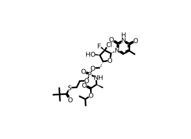 Cc1cn([C@@H]2O[C@H](COP(=O)(N[C@@H](C)C(=O)OC(C)C)OCCSC(=O)C(C)(C)C)[C@@H](O)[C@]2(F)Cl)c(=O)[nH]c1=O